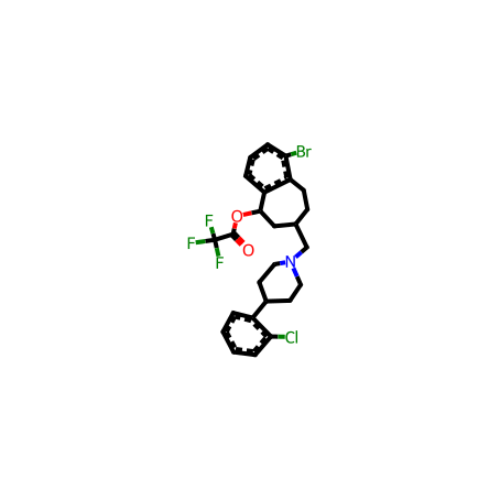 O=C(OC1CC(CN2CCC(c3ccccc3Cl)CC2)CCc2c(Br)cccc21)C(F)(F)F